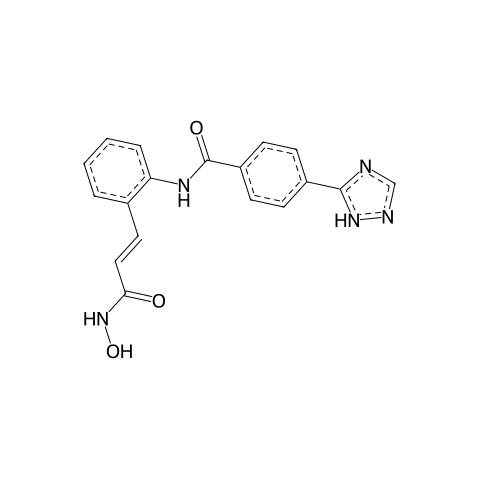 O=C(C=Cc1ccccc1NC(=O)c1ccc(-c2ncn[nH]2)cc1)NO